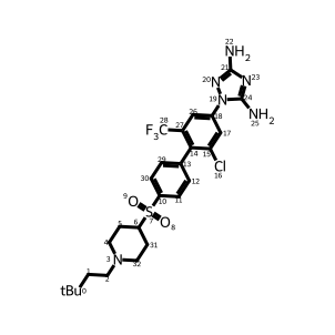 CC(C)(C)CCN1CCC(S(=O)(=O)c2ccc(-c3c(Cl)cc(-n4nc(N)nc4N)cc3C(F)(F)F)cc2)CC1